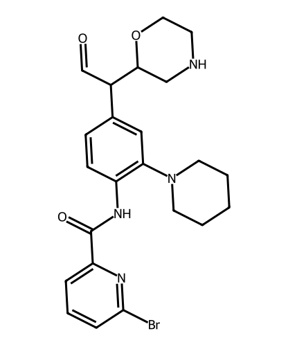 O=CC(c1ccc(NC(=O)c2cccc(Br)n2)c(N2CCCCC2)c1)C1CNCCO1